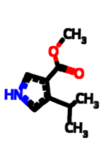 COC(=O)c1c[nH]cc1C(C)C